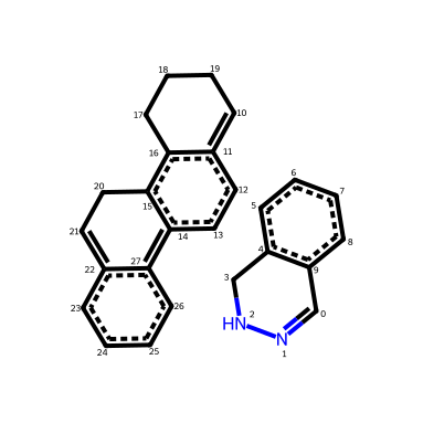 C1=NNCc2ccccc21.C1=c2ccc3c(c2CCC1)CC=c1ccccc1=3